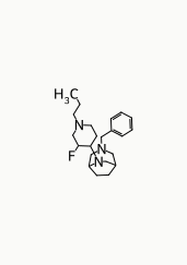 CCCN1CCC(N2CC3CCC2CN(Cc2ccccc2)C3)C(F)C1